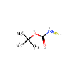 CC(C)(C)OC(=O)N=S